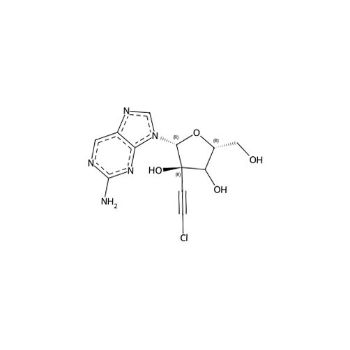 Nc1ncc2ncn([C@@H]3O[C@H](CO)C(O)[C@]3(O)C#CCl)c2n1